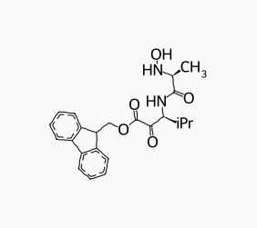 CC(C)[C@H](NC(=O)[C@H](C)NO)C(=O)C(=O)OCC1c2ccccc2-c2ccccc21